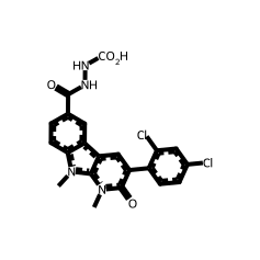 Cn1c(=O)c(-c2ccc(Cl)cc2Cl)cc2c3cc(C(=O)NNC(=O)O)ccc3n(C)c21